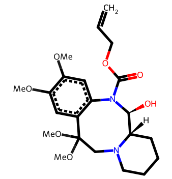 C=CCOC(=O)N1c2cc(OC)c(OC)cc2C(OC)(OC)CN2CCCC[C@H]2[C@@H]1O